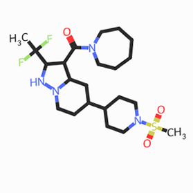 CC(F)(F)C1NN2CCC(C3CCN(S(C)(=O)=O)CC3)CC2C1C(=O)N1CCCCCC1